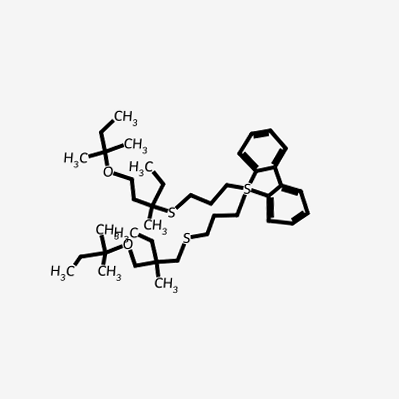 CCC(C)(COC(C)(C)CC)CSCCCS1(CCCSC(C)(CC)CCOC(C)(C)CC)c2ccccc2-c2ccccc21